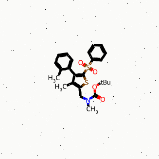 Cc1ccccc1-c1c(S(=O)(=O)c2ccccc2)sc(CN(C)C(=O)OC(C)(C)C)c1C